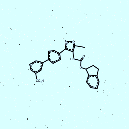 Cc1onc(-c2ccc(-c3cccc(C(=O)O)c3)cc2)c1NC(=O)OC1CCc2ccccc21